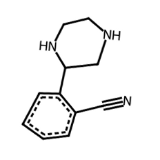 N#Cc1ccccc1C1CNCCN1